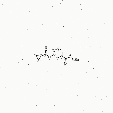 CCO[C@H](CNC(=O)OC(C)(C)C)OC(=O)C1CC1